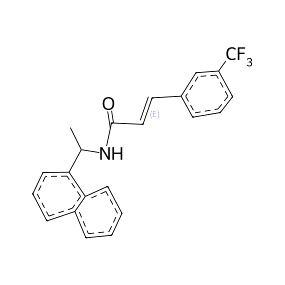 CC(NC(=O)/C=C/c1cccc(C(F)(F)F)c1)c1cccc2ccccc12